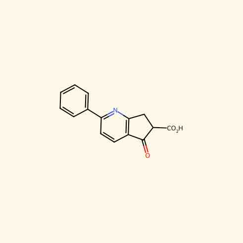 O=C(O)C1Cc2nc(-c3ccccc3)ccc2C1=O